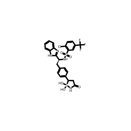 O=C1CC(c2ccc(C[C@H](NS(=O)(=O)c3cc(C(F)(F)F)ccc3Cl)c3nc4ccccc4[nH]3)cc2)S(O)(O)N1